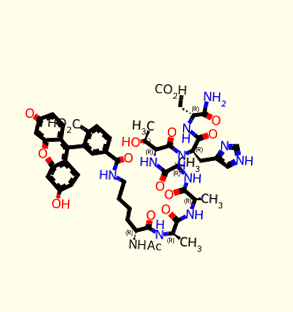 CC(=O)N[C@H](CCCCNC(=O)c1ccc(C(=O)O)c(-c2c3ccc(=O)cc-3oc3cc(O)ccc23)c1)C(=O)N[C@H](C)C(=O)N[C@H](C)C(=O)N[C@H](C)C(=O)N[C@@H](C(=O)N[C@H](Cc1c[nH]cn1)C(=O)N[C@H](CC(=O)O)C(N)=O)[C@H](C)O